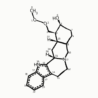 COOC[C@H]1[C@@H](O)CCC2CN3CCc4c([nH]c5ccccc45)[C@@H]3C[C@@H]21